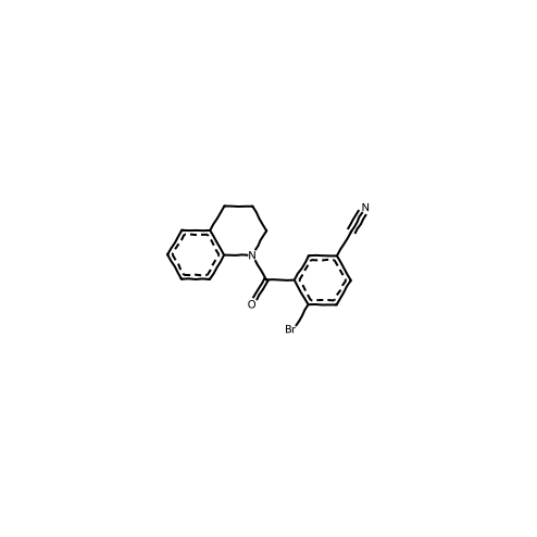 N#Cc1ccc(Br)c(C(=O)N2CCCc3ccccc32)c1